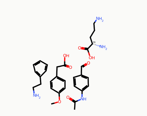 CC(=O)Nc1ccc(C=O)cc1.COc1ccc(CC(=O)O)cc1.NCCC[C@H](N)C(=O)O.NCCc1ccccc1